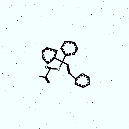 C=C(C)C(=O)OC(C=Cc1ccccc1)(c1ccccc1)c1ccccc1